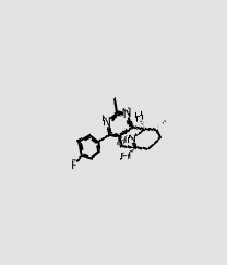 Cc1nc(-c2ccc(F)cc2)c2c(n1)[C@@H]1N[C@@H](CC[C@H]1C)C2